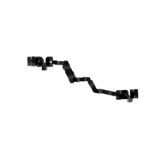 O=C(O)C=CCCS(=O)(=O)O